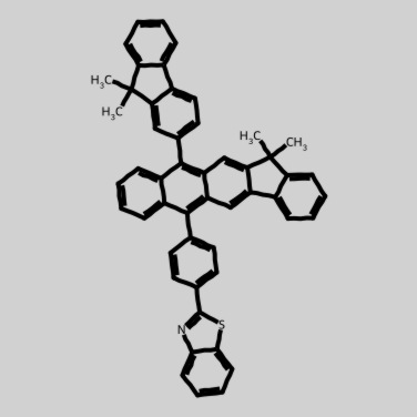 CC1(C)c2ccccc2-c2ccc(-c3c4ccccc4c(-c4ccc(-c5nc6ccccc6s5)cc4)c4cc5c(cc34)C(C)(C)c3ccccc3-5)cc21